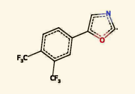 FC(F)(F)c1ccc(-c2cn[c]o2)cc1C(F)(F)F